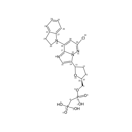 O=P(O)(O)CP(=O)(O)OC[C@@H]1CCC(c2cnc3c(N4CCc5ccccc54)cc(Cl)nn23)O1